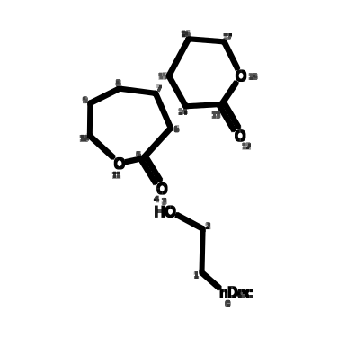 CCCCCCCCCCCCO.O=C1CCCCCO1.O=C1CCCCO1